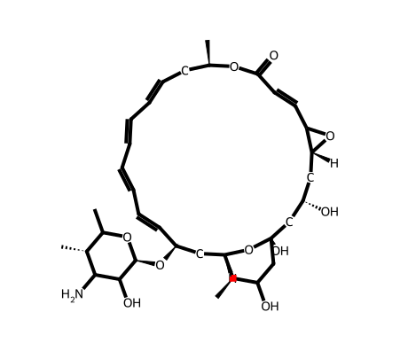 CC1O[C@@H](O[C@H]2/C=C/C=C/C=C/C=C/C[C@@H](C)OC(=O)/C=C/C3O[C@@H]3C[C@H](O)C[C@]3(O)CC(O)[C@@H](C)[C@H](C2)O3)C(O)C(N)[C@@H]1C